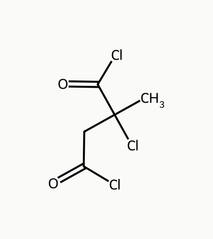 CC(Cl)(CC(=O)Cl)C(=O)Cl